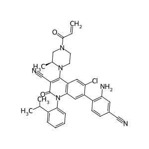 C=CC(=O)N1CCN(c2c(C#N)c(=O)n(-c3ccccc3C(C)C)c3cc(-c4ccc(C#N)cc4N)c(Cl)cc23)[C@@H](C)C1